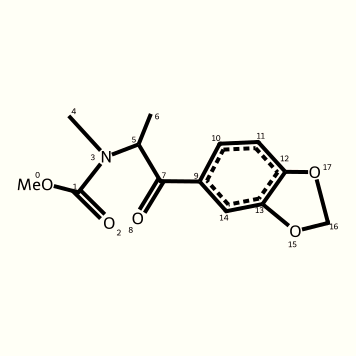 COC(=O)N(C)C(C)C(=O)c1ccc2c(c1)OCO2